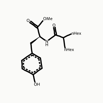 CCCCCCC(CCCCCC)C(=O)N[C@@H](Cc1ccc(O)cc1)C(=O)OC